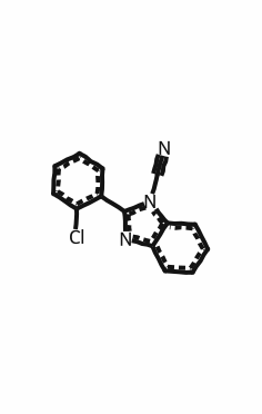 N#Cn1c(-c2ccccc2Cl)nc2ccccc21